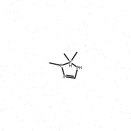 CP1P=CP[PH]1(C)C